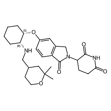 CC1(C)CC(CN[C@@H]2CCCC[C@@H]2Oc2ccc3c(c2)CN(C2CCC(=O)NC2=O)C3=O)CCO1